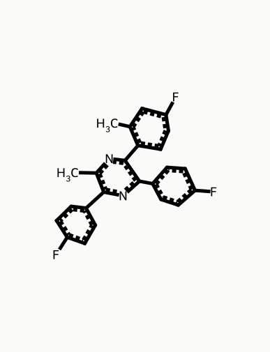 Cc1cc(F)ccc1-c1nc(C)c(-c2ccc(F)cc2)nc1-c1ccc(F)cc1